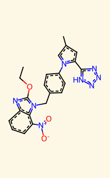 CCOc1nc2cccc([N+](=O)[O-])c2n1Cc1ccc(-n2cc(C)cc2-c2nnn[nH]2)cc1